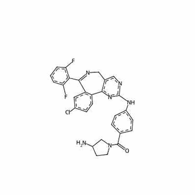 NC1CCN(C(=O)c2ccc(Nc3ncc4c(n3)-c3ccc(Cl)cc3C(c3c(F)cccc3F)=NC4)cc2)C1